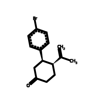 C=C(C)[C@@H]1CCC(=O)C[C@H]1c1ccc(Br)cc1